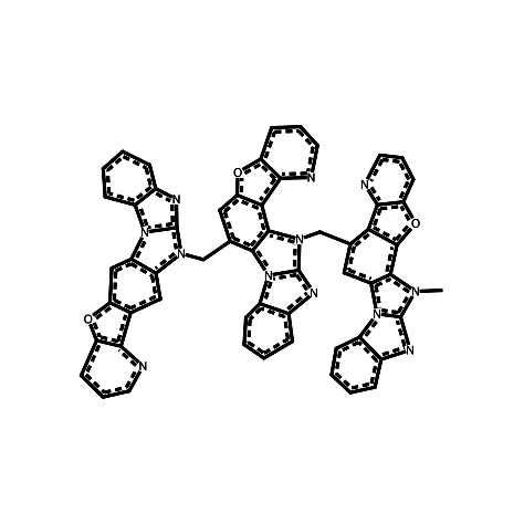 Cn1c2c3oc4cccnc4c3c(Cn3c4c5c(cc(Cn6c7cc8c(cc7n7c9ccccc9nc67)oc6cccnc68)c4n4c6ccccc6nc34)oc3cccnc35)cc2n2c3ccccc3nc12